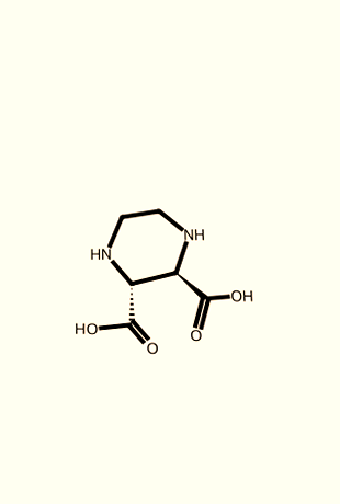 O=C(O)[C@@H]1NCCN[C@H]1C(=O)O